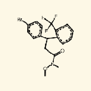 CON(C)C(=O)CC(c1ccc(Br)cc1)c1ccccc1C(F)(F)F